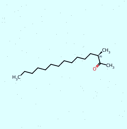 CCCCCCCCCCCC[C@@H](C)C(C)=O